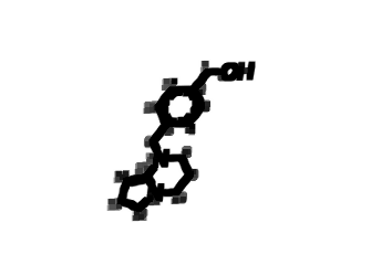 OCc1ccc(CN2CCCN3CCC=C32)cc1